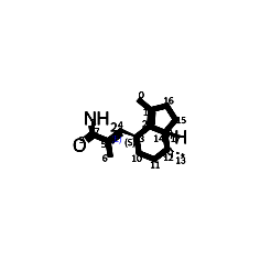 CC1=C2[C@H](/C=C(\C)C(N)=O)CC[C@@H](C)[C@H]2CC1